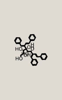 OC[C@@H](O)[C@@H](O)[C@@](O)(C(C=Cc1ccccc1)=Cc1ccccc1)[C@@H](O)C(O)C(C=Cc1ccccc1)=Cc1ccccc1